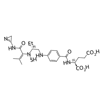 CC[C@H](CNc1ccc(C(=O)N[C@@H](CCC(=O)O)C(=O)O)cc1)N(S)C(C(=O)NC1=NC1)=C(C)C